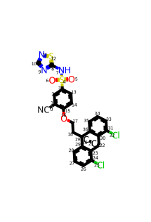 N#Cc1cc(S(=O)(=O)Nc2ncns2)ccc1OCCC12CCC(c3c(Cl)cccc31)c1c(Cl)cccc12